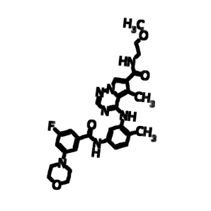 COCCNC(=O)c1cn2ncnc(Nc3cc(NC(=O)c4cc(F)cc(N5CCOCC5)c4)ccc3C)c2c1C